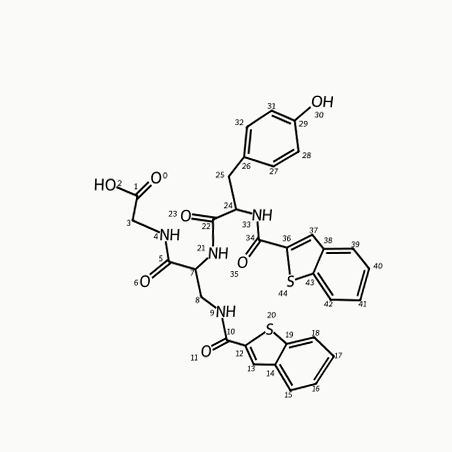 O=C(O)CNC(=O)C(CNC(=O)c1cc2ccccc2s1)NC(=O)C(Cc1ccc(O)cc1)NC(=O)c1cc2ccccc2s1